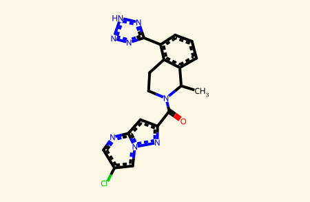 CC1c2cccc(-c3nn[nH]n3)c2CCN1C(=O)c1cc2ncc(Cl)cn2n1